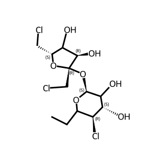 CCC1O[C@@H](O[C@]2(CCl)O[C@H](CCl)C(O)[C@H]2O)C(O)[C@H](O)[C@H]1Cl